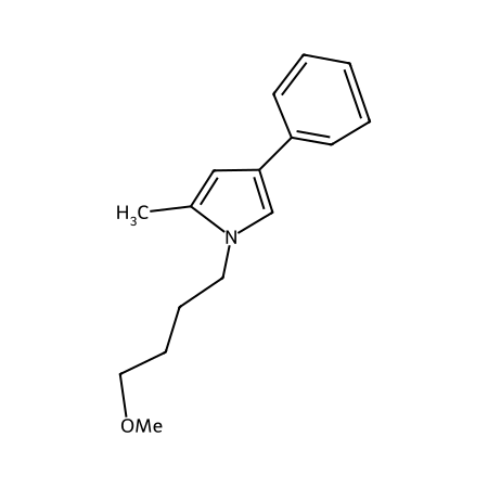 COCCCCn1cc(-c2ccccc2)cc1C